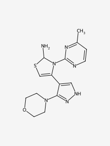 Cc1ccnc(N2C(c3c[nH]nc3N3CCOCC3)=CSC2N)n1